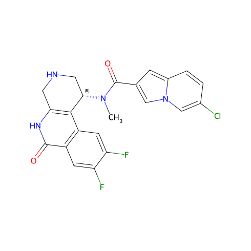 CN(C(=O)c1cc2ccc(Cl)cn2c1)[C@H]1CNCc2[nH]c(=O)c3cc(F)c(F)cc3c21